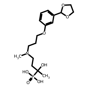 CN(CCCOc1cccc(C2OCCO2)c1)CCC(C)(O)P(=O)(O)O